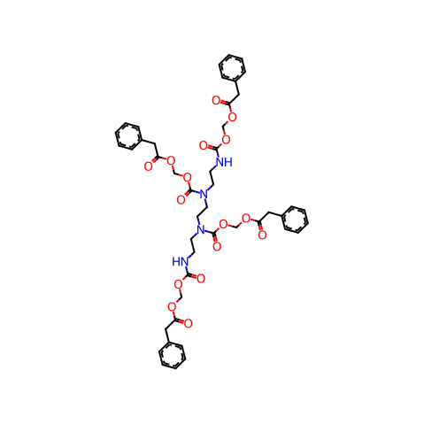 O=C(Cc1ccccc1)OCOC(=O)NCCN(CCN(CCNC(=O)OCOC(=O)Cc1ccccc1)C(=O)OCOC(=O)Cc1ccccc1)C(=O)OCOC(=O)Cc1ccccc1